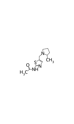 CC(=O)Nc1ncc(CN2CCCC2C)s1